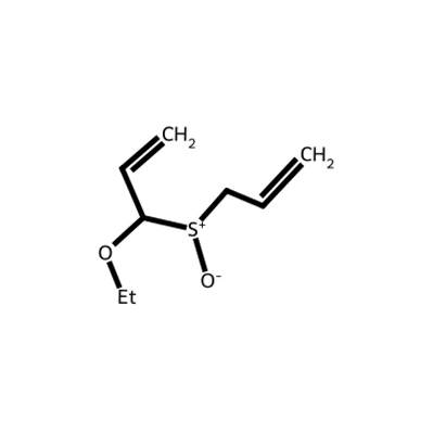 C=CC[S+]([O-])C(C=C)OCC